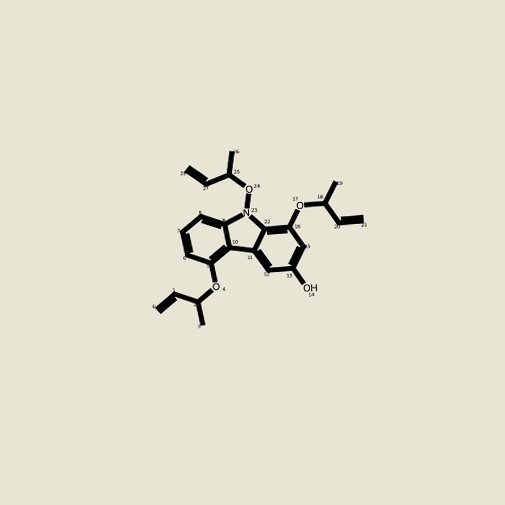 C=CC(C)Oc1cccc2c1c1cc(O)cc(OC(C)C=C)c1n2OC(C)C=C